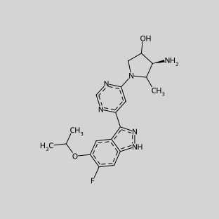 CC(C)Oc1cc2c(-c3cc(N4CC(O)[C@@H](N)C4C)ncn3)n[nH]c2cc1F